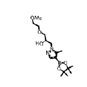 COCCOC[C@@H](O)Cn1ncc(B2OC(C)(C)C(C)(C)O2)c1C